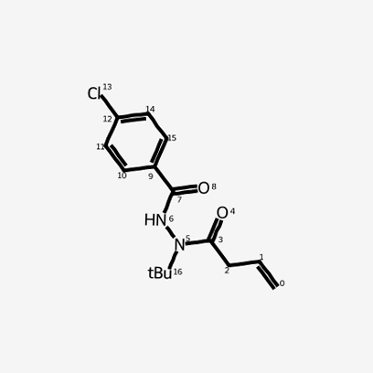 C=CCC(=O)N(NC(=O)c1ccc(Cl)cc1)C(C)(C)C